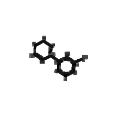 Ic1cccc(C2=CCCC=C2)c1